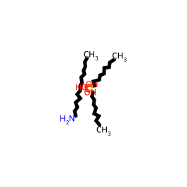 CCCCCCCCCCCCCCCCN.CCCCCCCCCCP(O)(O)(O)CCCCCCCCCC